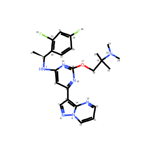 C[C@H](Nc1cc(-c2cnn3cccnc23)nc(OCC(C)(C)N(C)C)n1)c1ccc(F)cc1F